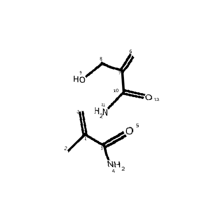 C=C(C)C(N)=O.C=C(CO)C(N)=O